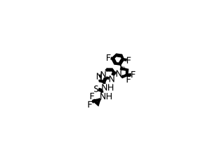 Fc1ccc(F)c([C@H]2CC(F)(F)CN2c2ccn3ncc(NC(=S)NC4CC4(F)F)c3n2)c1